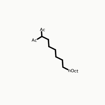 CCCCCCCCCCCCCCC(C(C)=O)C(C)=O